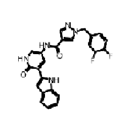 O=C(Nc1c[nH]c(=O)c(-c2cc3ccccc3[nH]2)c1)c1cnn(CC2=CC(F)C(F)C=C2)c1